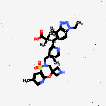 CCn1nnc2c(C)c([C@H](c3cc(CN4CC5(CNC5)Oc5ncc(C)cc5S4(=O)=O)c(C)cn3)C(C)(C)C(=O)O)ccc21